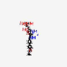 NC(CCCCB(O)O)(C(=O)O)[C@H]1C[C@@H](NCc2ccc(-c3ccc(OCC4CC4)cc3)cc2)C1